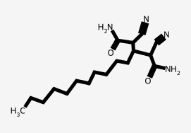 CCCCCCCCCCCC(C(C#N)C(N)=O)C(C#N)C(N)=O